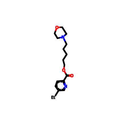 CCc1ccc(C(=O)OCCCCCN2CCOCC2)nc1